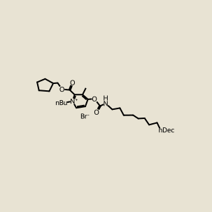 CCCCCCCCCCCCCCCCCCNC(=O)Oc1cc[n+](CCCC)c(C(=O)OCC2CCCC2)c1C.[Br-]